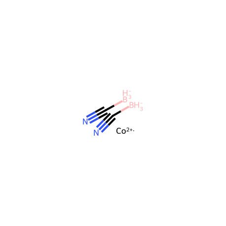 [BH3-]C#N.[BH3-]C#N.[Co+2]